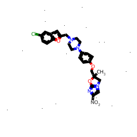 CC1(COc2ccc(N3CCN(Cc4cc5cc(Cl)ccc5o4)CC3)cc2)Cn2cc([N+](=O)[O-])nc2O1